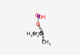 CCCCCCCC[Si]1(C)c2cc(-c3ccc(-c4ccc(C)cc4)cc3)ccc2-c2ccc(-c3ccc(-c4ccc(OCCCCCCCCN5C(=O)C=CC5O)cc4)cc3)cc21